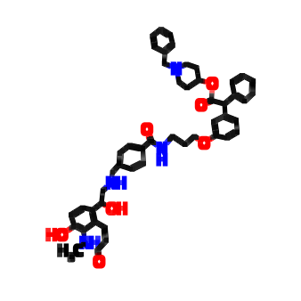 CNc1c(O)ccc(C(O)CNCc2ccc(C(=O)NCCCOc3cccc(C(C(=O)OC4CCN(Cc5ccccc5)CC4)c4ccccc4)c3)cc2)c1/C=C\C=O